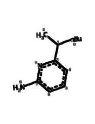 CCCCC(C)c1cccc(N)n1